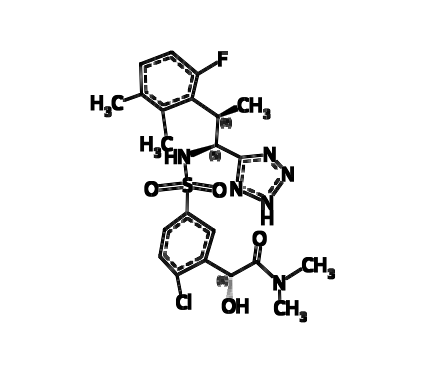 Cc1ccc(F)c([C@@H](C)[C@H](NS(=O)(=O)c2ccc(Cl)c([C@@H](O)C(=O)N(C)C)c2)c2nn[nH]n2)c1C